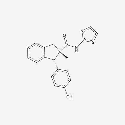 C[C@]1(C(=O)Nc2nccs2)Cc2ccccc2[C@H]1c1ccc(O)cc1